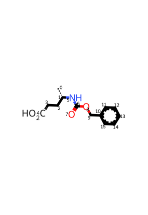 C[C@@H](CCC(=O)O)NC(=O)OCc1ccccc1